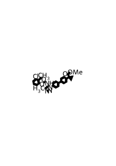 COC(=O)C1(c2ccc(-c3ccc(-n4nnc(C)c4NC(=O)O[C@H](C)c4ccccc4Cl)cc3)cc2)CC1